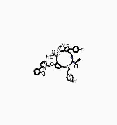 C#C/C(Cl)=C1\C=C/Cc2c(-c3ccc(F)cc3)sc3ncnc(c23)O[C@@H](C(=O)O)Cc2cc(ccc2OCc2nccc(-c3ccccc3OC)n2)CN(CCN2CCNCC2)C1